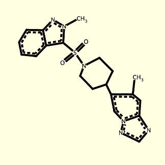 Cc1cc2ncnn2cc1C1CCN(S(=O)(=O)c2c3ccccc3nn2C)CC1